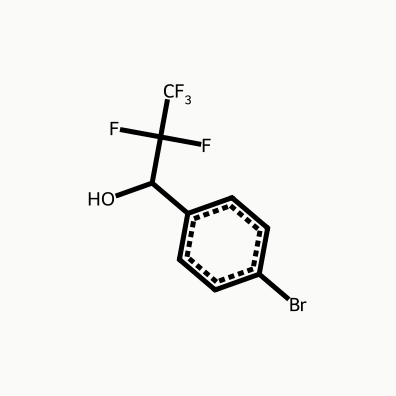 OC(c1ccc(Br)cc1)C(F)(F)C(F)(F)F